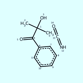 CC(C)(O)C(=O)c1ccccc1.N=C=O